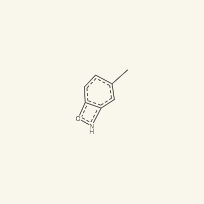 Cc1ccc2o[nH]c2c1